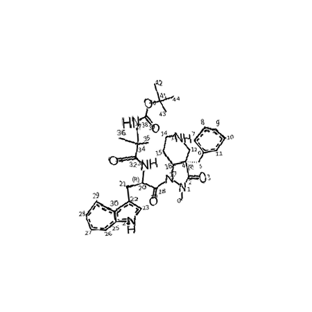 CN1C(=O)[C@]2(Cc3ccccc3)CNCCC2N1C(=O)[C@@H](Cc1c[nH]c2ccccc12)NC(=O)C(C)(C)NC(=O)OC(C)(C)C